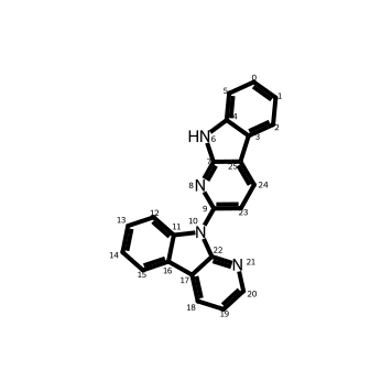 c1ccc2c(c1)[nH]c1nc(-n3c4ccccc4c4cccnc43)ccc12